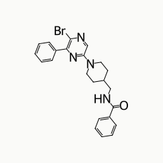 O=C(NCC1CCN(c2cnc(Br)c(-c3ccccc3)n2)CC1)c1ccccc1